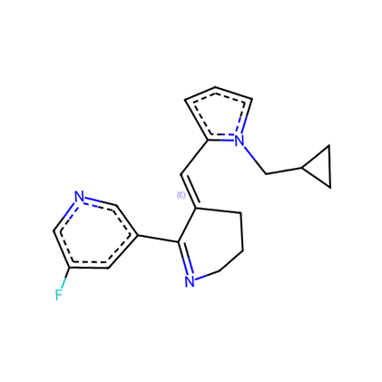 Fc1cncc(C2=NCCC/C2=C\c2cccn2CC2CC2)c1